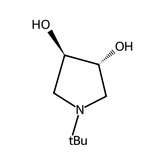 CC(C)(C)N1C[C@@H](O)[C@H](O)C1